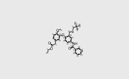 CCOC(=O)Cc1ccc(OC)c(Oc2ccc(NC(=O)c3cccnc3)cc2CSCC(F)(F)F)c1